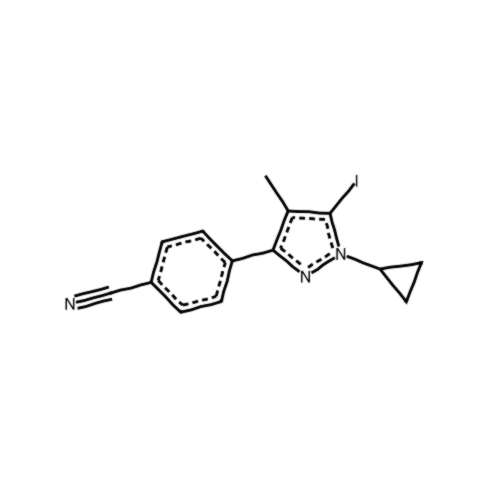 Cc1c(-c2ccc(C#N)cc2)nn(C2CC2)c1I